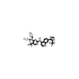 CCN(CC)c1nc(Nc2ccnc3cc(-c4ncsc4C(F)(F)F)ccc23)ncc1C(F)(F)F